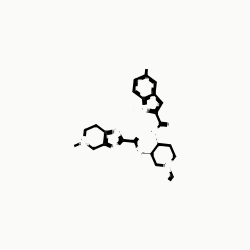 CN1CCc2nc(C(=O)N[C@@H]3CN(C=O)CC[C@@H]3NC(=O)c3cc4cc(F)ccc4[nH]3)sc2C1